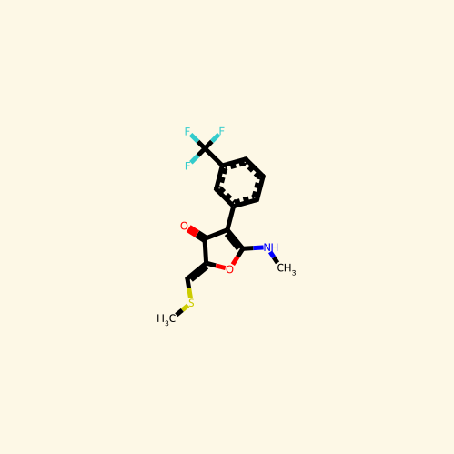 CNC1=C(c2cccc(C(F)(F)F)c2)C(=O)C(=CSC)O1